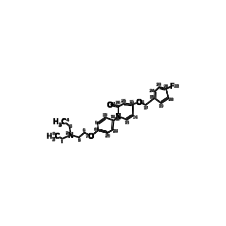 CCN(CC)CCOc1ccc(-n2ccc(OCc3ccc(F)cc3)cc2=O)cc1